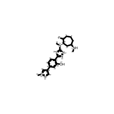 CNC1CCCC(F)[C@@H](N(C)c2nnc(-c3ccc(-c4cnn(C)c4)cc3O)s2)C1